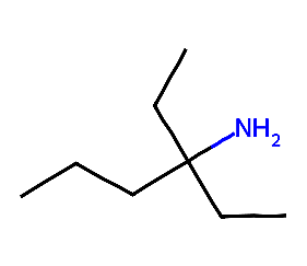 CCCC(N)(CC)CC